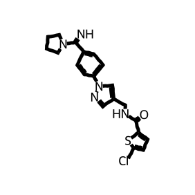 N=C(c1ccc(-n2cc(CNC(=O)c3ccc(Cl)s3)cn2)cc1)N1CCCC1